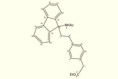 CCOC(=O)Cc1ccc(CCC2(NC(C)=O)c3ccccc3-c3ccccc32)cc1